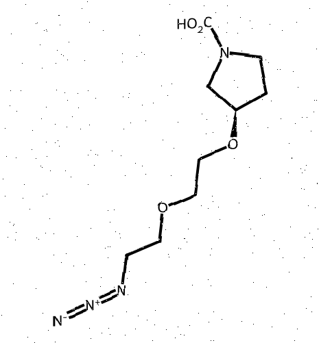 [N-]=[N+]=NCCOCCO[C@@H]1CCN(C(=O)O)C1